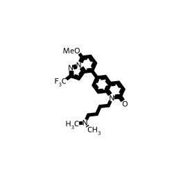 COc1ccc(-c2ccc3c(ccc(=O)n3CCCCN(C)C)c2)c2cc(C(F)(F)F)nn12